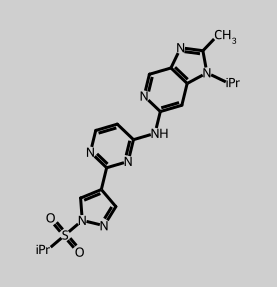 Cc1nc2cnc(Nc3ccnc(-c4cnn(S(=O)(=O)C(C)C)c4)n3)cc2n1C(C)C